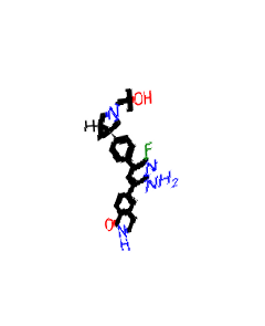 CC(C)(O)CN1C[C@@H]2C[C@]2(c2ccc(-c3cc(-c4ccc5c(c4)CCNC5=O)c(N)nc3F)cc2)C1